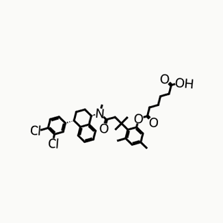 Cc1cc(C)c(C(C)(C)CC(=O)N(C)[C@H]2CC[C@@H](c3ccc(Cl)c(Cl)c3)c3ccccc32)c(OC(=O)CCCCC(=O)O)c1